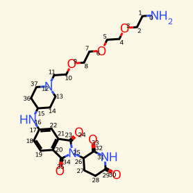 NCCOCCOCCOCCN1CCC(Nc2ccc3c(c2)C(=O)N(C2CCC(=O)NC2=O)C3=O)CC1